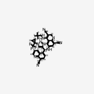 CC(C)(C)CNc1c(C#N)cnc2c(C#N)cc(N[C@H](C3=CN(C4(C(F)(F)F)CC4)NN3)c3ccc(C#N)c4ncccc34)cc12